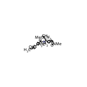 C=C/C(=C\C(N)C(=O)c1ccc(C2CCN(C[C@H](C)O)CC2)cc1)N(CCC(C)(C)OC)c1ccc2c(ccn2C(=O)NC)c1